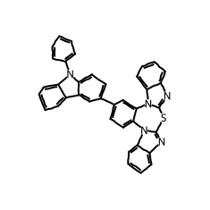 c1ccc(-n2c3ccccc3c3cc(-c4ccc5c(c4)n4c(nc6ccccc64)sc4nc6ccccc6n45)ccc32)cc1